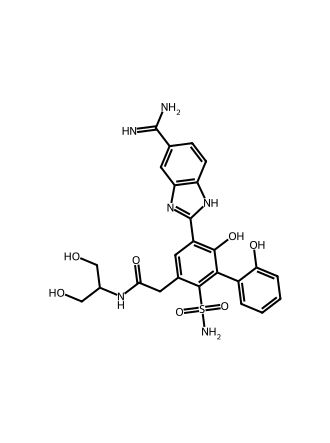 N=C(N)c1ccc2[nH]c(-c3cc(CC(=O)NC(CO)CO)c(S(N)(=O)=O)c(-c4ccccc4O)c3O)nc2c1